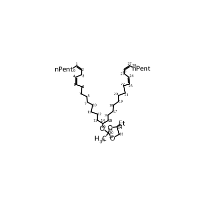 CCCCC/C=C\C/C=C\CCCCCCCCC(CCCCCCCC/C=C\C/C=C\CCCCC)OC1(C)OCC(CC)O1